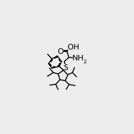 Cc1ccc(C2(SCC(N)C(=O)O)C(C(C)C)C(C(C)C)C(C(C)C)C2C(C)C)cc1